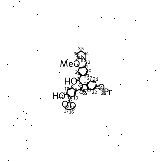 COc1cc(C(O)c2c(-c3ccc(O)c(C4OCCO4)c3)sc3cc(OC(C)C)ccc23)ccc1CN1CCCC1